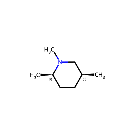 C[C@H]1CC[C@@H](C)N(C)C1